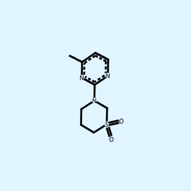 Cc1ccnc(N2CCCS(=O)(=O)C2)n1